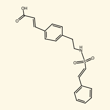 O=C(O)C=Cc1ccc(CCNS(=O)(=O)C=Cc2ccccc2)cc1